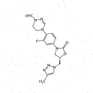 Cc1cn(C[C@H]2CN(c3ccc(N4C=NN(C=O)CC4)c(F)c3)C(=O)O2)nn1